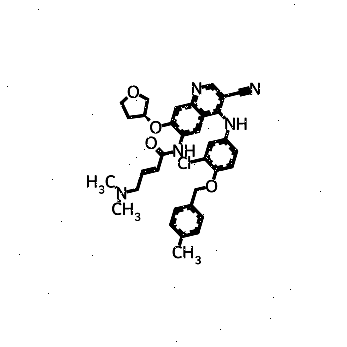 Cc1ccc(COc2ccc(Nc3c(C#N)cnc4cc(O[C@H]5CCOC5)c(NC(=O)C=CCN(C)C)cc34)cc2Cl)cc1